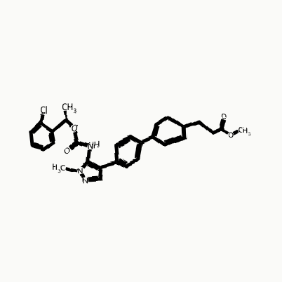 COC(=O)CCC1C=CC(c2ccc(-c3cnn(C)c3NC(=O)O[C@H](C)c3ccccc3Cl)cc2)=CC1